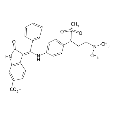 CN(C)CCN(c1ccc(NC(=C2C(=O)Nc3cc(C(=O)O)ccc32)c2ccccc2)cc1)S(C)(=O)=O